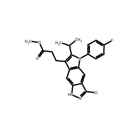 COC(=O)CCc1c(C(C)C)n(-c2ccc(F)cc2)c2cc3c(Cl)n[nH]c3cc12